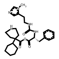 Cn1cncc1CCNC(=O)N[C@H](Cc1ccccc1)C(=O)OC(=O)C1(C2CCCCC2)CCNCC1